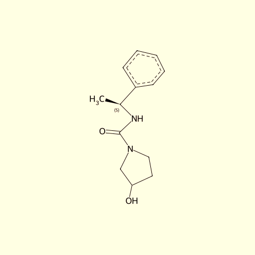 C[C@H](NC(=O)N1CCC(O)C1)c1ccccc1